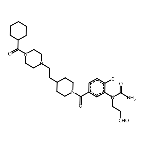 NC(=O)N(CCC=O)c1cc(C(=O)N2CCC(CCN3CCN(C(=O)C4CCCCC4)CC3)CC2)ccc1Cl